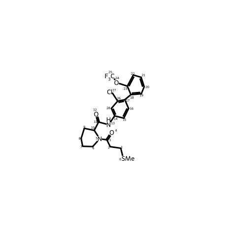 CSCCC(=O)N1CCCCC1C(=O)Nc1ccc(-c2ccccc2OC(F)(F)F)c(Cl)c1